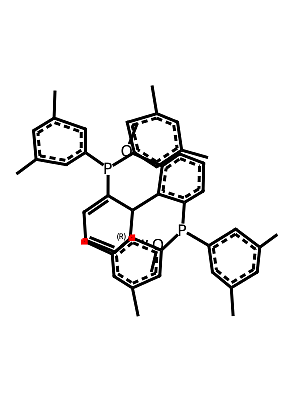 COc1cccc(P(c2cc(C)cc(C)c2)c2cc(C)cc(C)c2)c1C1C(P(c2cc(C)cc(C)c2)c2cc(C)cc(C)c2)=CC=C[C@H]1OC